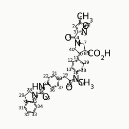 Cc1cc(C(=O)N2CC(C(=O)O)C(c3ccc(N(C)C(=O)Cc4ccc(NC(=O)N5CCc6ccccc65)cc4)cc3)C2)no1